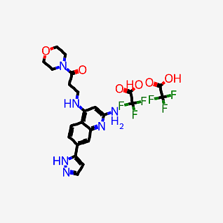 Nc1cc(NCCC(=O)N2CCOCC2)c2ccc(-c3ccn[nH]3)cc2n1.O=C(O)C(F)(F)F.O=C(O)C(F)(F)F